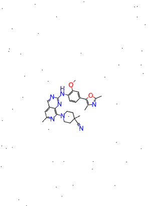 COc1cc(-c2oc(C)nc2C)ccc1Nc1ncc2cc(C)nc(N3CCC(C)(C#N)CC3)c2n1